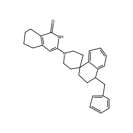 O=c1[nH]c(N2CCC3(CCC(Cc4ccccc4)c4ccccc43)CC2)cc2c1CCCC2